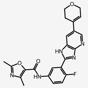 Cc1nc(C)c(C(=O)Nc2ccc(F)c(-c3nc4ncc(C5=CCOCC5)cc4[nH]3)c2)o1